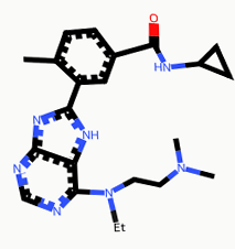 CCN(CCN(C)C)c1ncnc2nc(-c3cc(C(=O)NC4CC4)ccc3C)[nH]c12